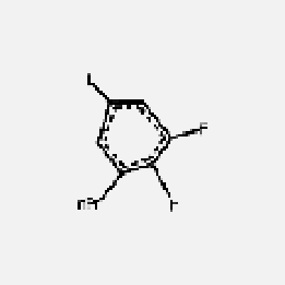 CCCc1cc(I)cc(F)c1F